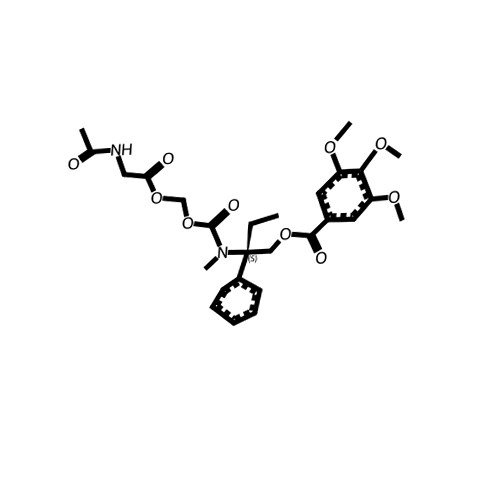 CC[C@@](COC(=O)c1cc(OC)c(OC)c(OC)c1)(c1ccccc1)N(C)C(=O)OCOC(=O)CNC(C)=O